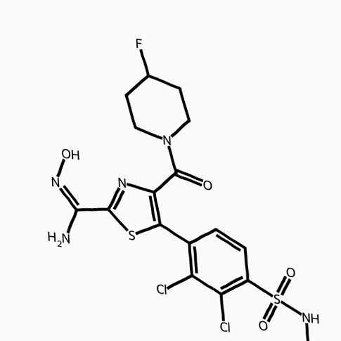 CC(C)NS(=O)(=O)c1ccc(-c2sc(/C(N)=N\O)nc2C(=O)N2CCC(F)CC2)c(Cl)c1Cl